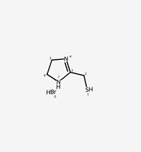 Br.SCC1=NCCN1